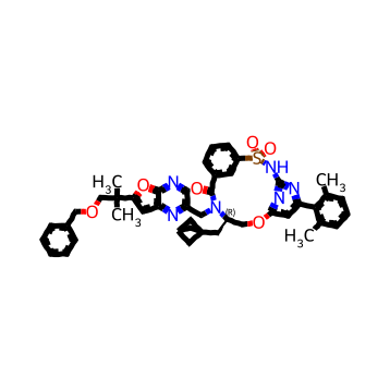 Cc1cccc(C)c1-c1cc2nc(n1)NS(=O)(=O)c1cccc(c1)C(=O)N(Cc1cnc3oc(C(C)(C)COCc4ccccc4)cc3n1)[C@H](CC13CC(C1)C3)CO2